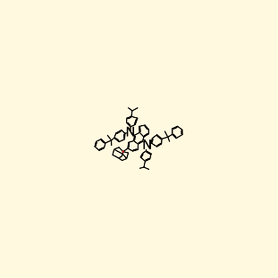 CC(C)c1ccc(N(c2ccc(C(C)(C)c3ccccc3)cc2)c2c3ccccc3c(N(c3ccc(C(C)C)cc3)c3ccc(C(C)(C)c4ccccc4)cc3)c3cc(C45CC6CC(CC(C6)C4)C5)ccc23)cc1